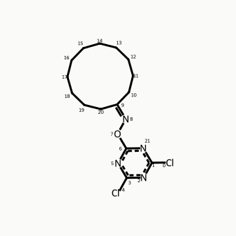 Clc1nc(Cl)nc(ON=C2CCCCCCCCCCC2)n1